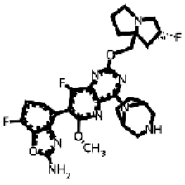 COc1nc2c(N3C4CCC3CNC4)nc(OCC34CCCN3C[C@H](F)C4)nc2c(F)c1-c1ccc(F)c2oc(N)nc12